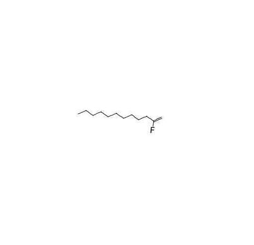 C=C(F)CCCCCCCCCC